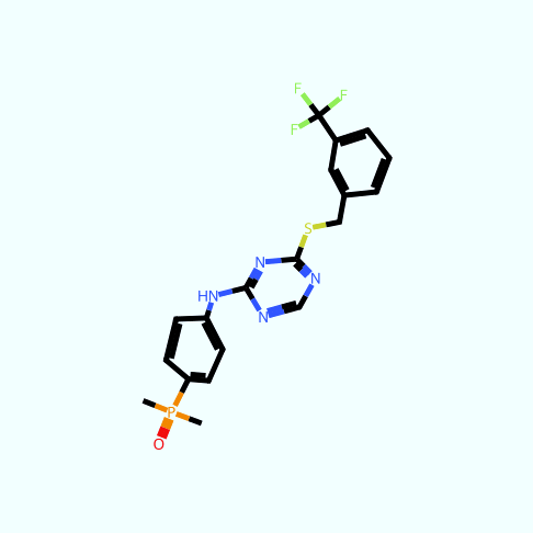 CP(C)(=O)c1ccc(Nc2ncnc(SCc3cccc(C(F)(F)F)c3)n2)cc1